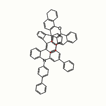 C1=Cc2c(ccc3c2Oc2c(ccc4ccccc24)C32c3ccccc3-c3c(-c4ccccc4N(c4ccc(-c5ccccc5)cc4)c4cc(-c5ccccc5)cc(-c5ccccc5)c4)cccc32)CC1